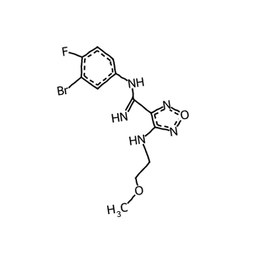 COCCNc1nonc1C(=N)Nc1ccc(F)c(Br)c1